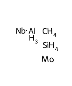 C.[AlH3].[Mo].[Nb].[SiH4]